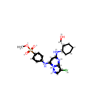 COS(=O)(=O)c1ccc(Nc2cc(N[C@@H]3CCCC[C@H]3CO)nc3c(Br)cnn23)cc1